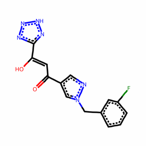 O=C(C=C(O)c1nn[nH]n1)c1cnn(Cc2cccc(F)c2)c1